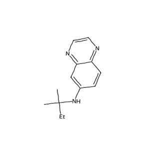 CCC(C)(C)Nc1ccc2nccnc2c1